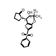 CC1(C)Oc2cc(S(=O)(=O)c3ccccc3)sc2[C@@H](N2CCCC2=O)[C@@H]1O